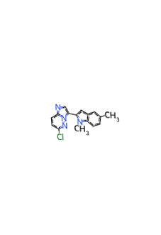 Cc1ccc2c(c1)cc(-c1cnc3ccc(Cl)nn13)n2C